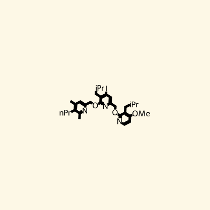 CCCc1c(C)cc(COc2nc(COc3nccc(OC)c3CC(C)C)cc(I)c2CC(C)C)nc1C